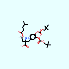 CC(C)CCC(=O)O[C@@H](C)CC(N)(Cc1ccc(OC(=O)OCC(C)(C)C)c(OC(=O)OCC(C)(C)C)c1)C(=O)O